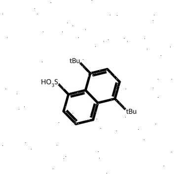 CC(C)(C)c1ccc(C(C)(C)C)c2c(S(=O)(=O)O)cccc12